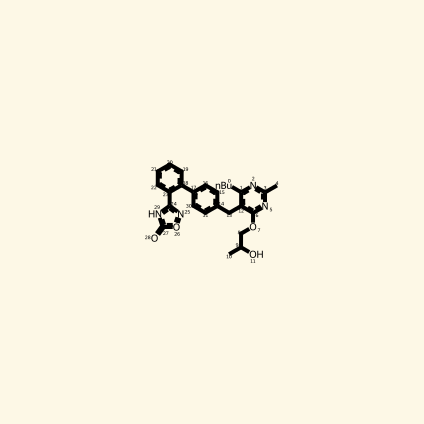 CCCCc1nc(C)nc(OCC(C)O)c1Cc1ccc(-c2ccccc2-c2noc(=O)[nH]2)cc1